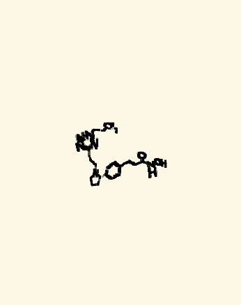 O=C(/C=C/c1ccc([C@@H]2CCCN2CCc2nnn(CCC(F)(F)F)n2)cc1)NO